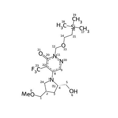 COCC1C[C@@H](CO)N(c2cnn(COCC[Si](C)(C)C)c(=O)c2C(F)(F)F)C1